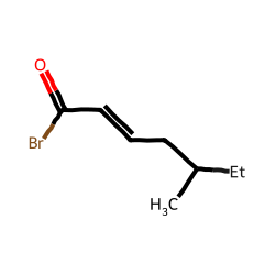 CCC(C)C/C=C/C(=O)Br